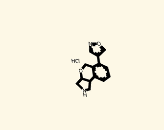 Cl.c1cc(-c2cnoc2)c2c(c1)C1CNCC1OC2